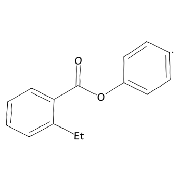 CCc1ccccc1C(=O)Oc1cc[c]cc1